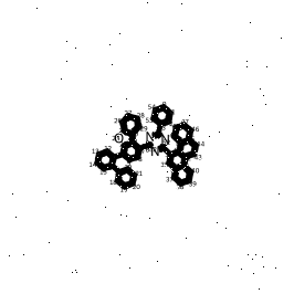 c1ccc(-c2nc(-c3ccc(-c4ccccc4-c4ccccc4)c4oc5ccccc5c34)nc(-c3cc4ccccc4c4ccc5ccccc5c34)n2)cc1